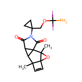 CC12C=CC13OC3(C)C13C(=O)N(C4(COC(P)(I)I)CC4)C(=O)C1C23